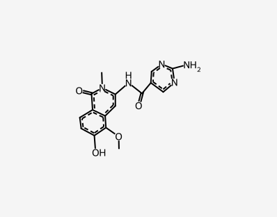 COc1c(O)ccc2c(=O)n(C)c(NC(=O)c3cnc(N)nc3)cc12